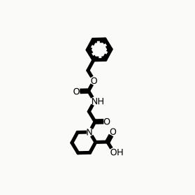 O=C(NCC(=O)N1CCCCC1C(=O)O)OCc1ccccc1